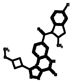 COC1CC(c2nnc3c(=O)[nH]c4cc(C(=O)N5c6ccc(Cl)cc6CC5C)ccc4n23)C1